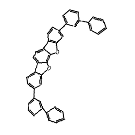 c1ccc(-c2cccc(-c3ccc4c(c3)oc3c4ccc4c5ccc(-c6cccc(-c7ccccc7)c6)cc5oc43)c2)cc1